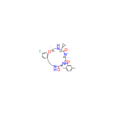 Cc1ccc(C[C@H]2NC(=O)[C@@H](C)N(C)C(=O)[C@H](C3CC3)NC[C@@H](C)Oc3cc(F)ccc3CCCNC2=O)cc1